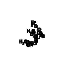 CCOC(=O)c1ccc2c(n1)CCCC2NCC(CCc1ccccc1OCc1ccc(-c2ccc(C(F)(F)F)cc2)cc1Cl)c1ccc(C(=O)OC)cc1